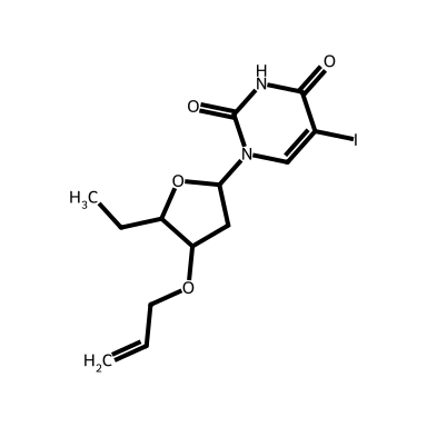 C=CCOC1CC(n2cc(I)c(=O)[nH]c2=O)OC1CC